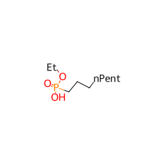 CCCCCCCCP(=O)(O)OCC